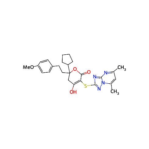 COc1ccc(CCC2(C3CCCC3)CC(O)=C(Sc3nc4nc(C)cc(C)n4n3)C(=O)O2)cc1